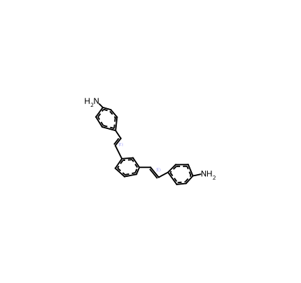 Nc1ccc(/C=C/c2cccc(/C=C/c3ccc(N)cc3)c2)cc1